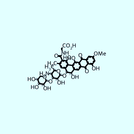 COc1cc(O)c2c(c1)C(=O)c1c(cc3c(c1O)-c1c(cc(C)c(C(=O)NCC(=O)O)c1O)[C@H](O[C@@H]1O[C@H](C)[C@H](N)[C@H](O[C@@H]4OC[C@@H](O)[C@H](O)[C@H]4O)[C@H]1O)[C@H]3O)C2=O